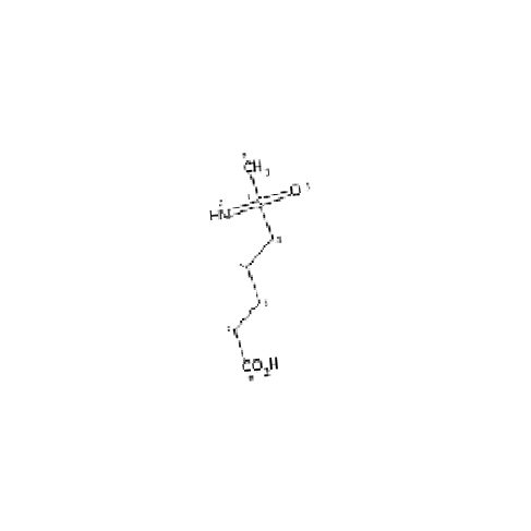 CS(=N)(=O)CCCCC(=O)O